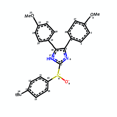 COc1ccc(-c2nc([S+]([O-])c3ccc(C(C)(C)C)cc3)[nH]c2-c2ccc(OC)cc2)cc1